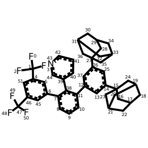 FC(F)(F)c1cc(-c2c[c]cc(-c3cc(C45CC6CC(CC(C6)C4)C5)cc(C45CC6CC(CC(C6)C4)C5)c3)c2-c2cccnc2)cc(C(F)(F)F)c1